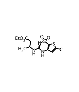 CCOC(=O)CC(C)NC1=NS(=O)(=O)c2sc(Cl)cc2N1